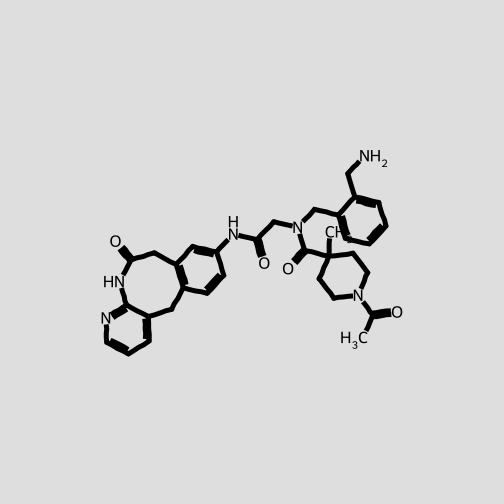 CC(=O)N1CCC(C)(C(=O)N(CC(=O)Nc2ccc3c(c2)CC(=O)Nc2ncccc2C3)Cc2ccccc2CN)CC1